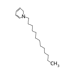 CCCCCCCCCCCCCN1C=CC=CC1